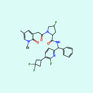 CCn1cc(C)cc(CC(=O)N2CC(F)CC2C(=O)NC(c2ccccc2)c2ccc(C3CC(F)(F)C3)c(F)n2)c1=O